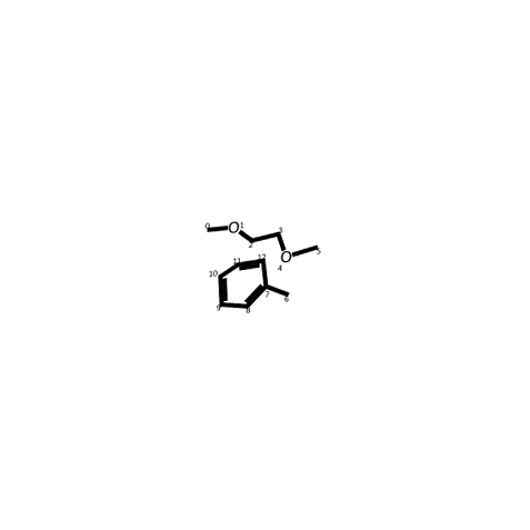 COCCOC.Cc1ccccc1